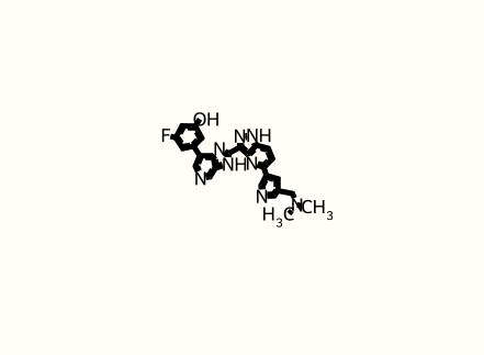 CN(C)Cc1cncc(-c2ccc3[nH]nc(-c4nc5c(-c6cc(O)cc(F)c6)cncc5[nH]4)c3n2)c1